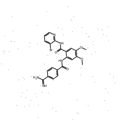 COc1cc(NC(=O)c2ccc(C(=N)N)cc2)c(C(=O)Nc2ncccc2Br)cc1OC